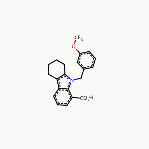 O=C(O)c1cccc2c3c(n(Cc4cccc(OC(F)(F)F)c4)c12)CCCC3